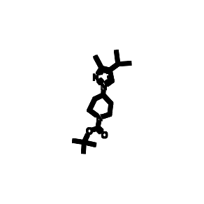 Cc1nn(C2CCN(C(=O)OC(C)(C)C)CC2)cc1C(C)C